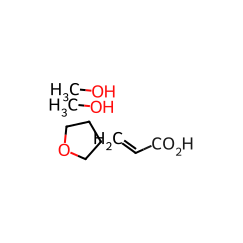 C1CCOC1.C=CC(=O)O.CO.CO